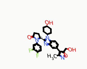 Cc1noc(CO)c1-c1ccc2c(c1)nc([C@@H]1CCC(=O)N1c1ccc(F)c(F)c1)n2[C@H]1CC[C@H](O)CC1